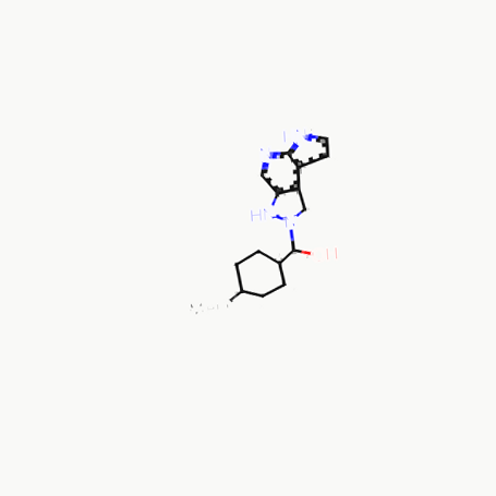 COC1CCC(C(O)N2Cc3c(cnc4[nH]ccc34)N2)CC1